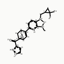 CN1SN(CC2CC2(F)F)c2ccc(C3=CC4CCC3CN4C(=O)c3ccon3)nc21